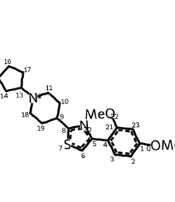 COc1ccc(-c2csc(C3CCN(C4CCCC4)CC3)n2)c(OC)c1